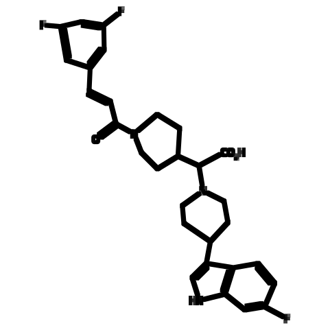 O=C(O)C(C1CCN(C(=O)/C=C/c2cc(F)cc(F)c2)CC1)N1CCC(c2c[nH]c3cc(F)ccc23)CC1